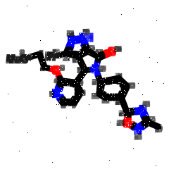 COCCOc1ncccc1C1c2c(C(C)C)n[nH]c2C(=O)N1c1ccc(-c2nc(C)no2)cc1